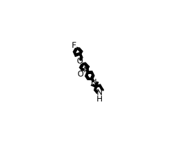 O=c1cc(OCc2ccc(F)cc2)ccn1-c1ccc(N2CC3(CCNCC3)C2)cc1